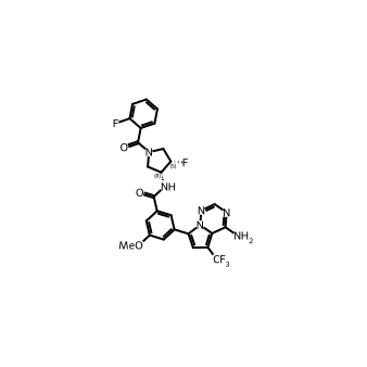 COc1cc(C(=O)N[C@@H]2CN(C(=O)c3ccccc3F)C[C@@H]2F)cc(-c2cc(C(F)(F)F)c3c(N)ncnn23)c1